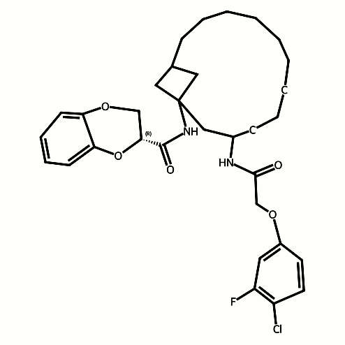 O=C(COc1ccc(Cl)c(F)c1)NC1CCCCCCCCCC2CC(NC(=O)[C@H]3COc4ccccc4O3)(C2)C1